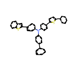 c1ccc(-c2ccc(N(c3ccc(-c4ccc(-c5ccccc5)s4)cc3)c3ccc(-c4cc5ccccc5s4)cc3)cc2)cc1